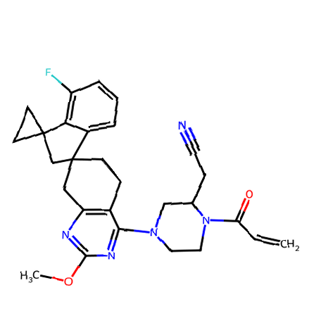 C=CC(=O)N1CCN(c2nc(OC)nc3c2CCC2(C3)CC3(CC3)c3c(F)cccc32)CC1CC#N